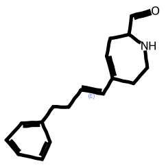 O=CC1CC=C(/C=C/CCc2ccccc2)CCN1